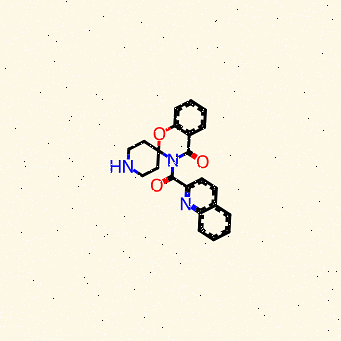 O=C(c1ccc2ccccc2n1)N1C(=O)c2ccccc2OC12CCNCC2